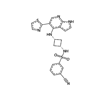 N#Cc1cccc(S(=O)(=O)N[C@H]2C[C@@H](Nc3c(-c4nccs4)cnc4[nH]ccc34)C2)c1